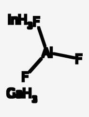 [F][Al]([F])[F].[GaH3].[InH3]